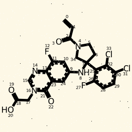 C=CC(=O)N1CCC(Nc2cc(F)c3ncn(CC(=O)O)c(=O)c3c2)(c2c(F)ccc(Cl)c2Cl)C1